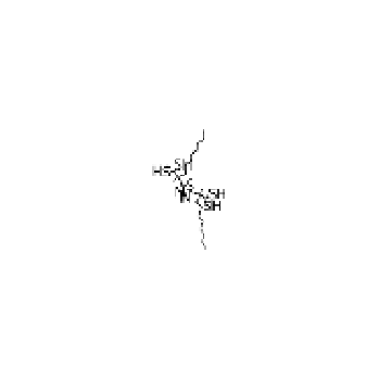 CCCCCCCCC(C)(c1nnc(C(C)(CCCCCCCC)C(S)S)s1)C(S)S